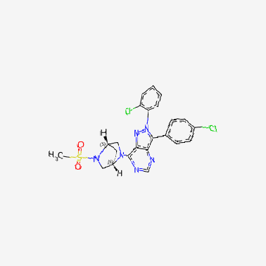 CS(=O)(=O)N1C[C@@H]2C[C@H]1CN2c1ncnc2c(-c3ccc(Cl)cc3)n(-c3ccccc3Cl)nc12